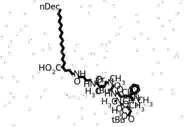 CCCCCCCCCCCCCCCCCCCCCCCCCC(CCCNC(=O)CCCNC(=O)C(C)=CC(C(C)C)N(C)C(=O)C(NC(=O)C(N(C)C(=O)OC(C)(C)CC(=O)OC(C)(C)C)C(C)(C)c1cn(C)c2ccccc12)C(C)(C)C)C(=O)O